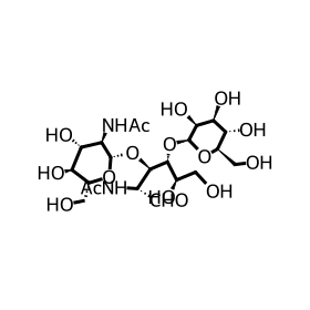 CC(=O)N[C@H]1[C@H](O[C@@H]([C@H](O[C@@H]2O[C@H](CO)[C@@H](O)[C@H](O)[C@@H]2O)[C@H](O)CO)[C@H](C=O)NC(C)=O)O[C@H](CO)[C@@H](O)[C@@H]1O